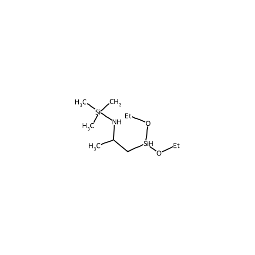 CCO[SiH](CC(C)N[Si](C)(C)C)OCC